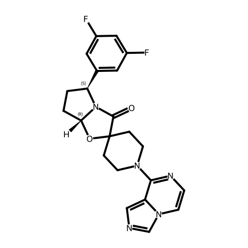 O=C1N2[C@@H](CC[C@H]2c2cc(F)cc(F)c2)OC12CCN(c1nccn3cncc13)CC2